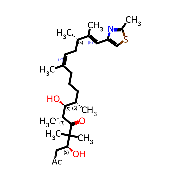 CC(=O)C[C@H](O)C(C)(C)C(=O)[C@H](C)[C@@H](O)[C@@H](C)CCC/C(C)=C\C[C@H](C)/C(C)=C/c1csc(C)n1